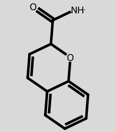 [NH]C(=O)C1C=Cc2ccccc2O1